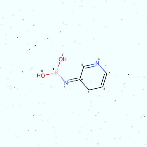 OB(O)N=C1C=NC=CC1